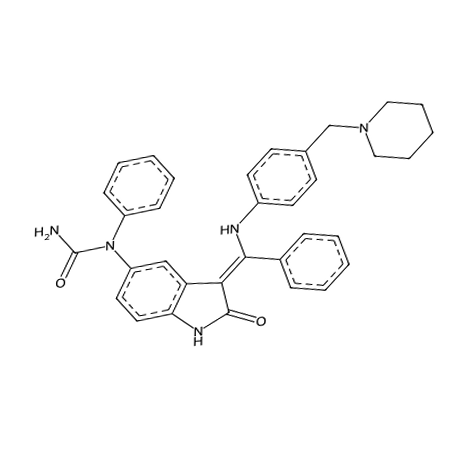 NC(=O)N(c1ccccc1)c1ccc2c(c1)C(=C(Nc1ccc(CN3CCCCC3)cc1)c1ccccc1)C(=O)N2